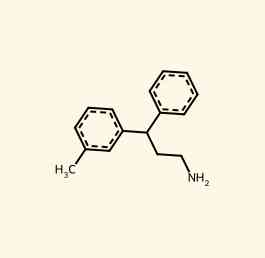 Cc1cccc(C(CCN)c2ccccc2)c1